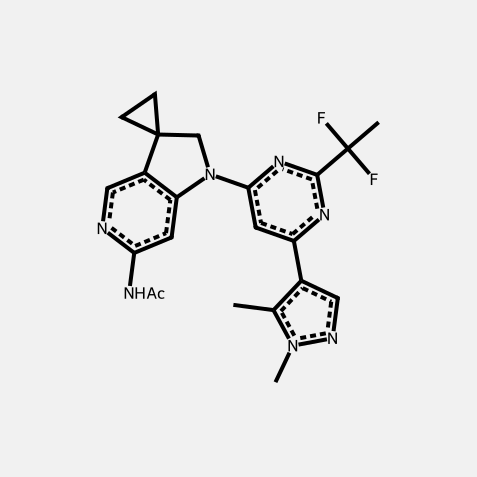 CC(=O)Nc1cc2c(cn1)C1(CC1)CN2c1cc(-c2cnn(C)c2C)nc(C(C)(F)F)n1